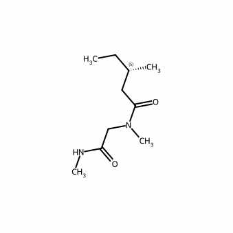 CC[C@H](C)CC(=O)N(C)CC(=O)NC